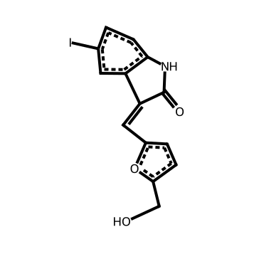 O=C1Nc2ccc(I)cc2C1=Cc1ccc(CO)o1